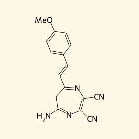 COc1ccc(C=CC2=NC(C#N)=C(C#N)N=C(N)C2)cc1